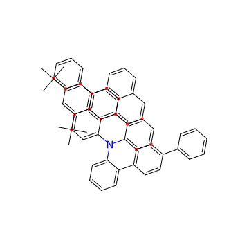 CC(C)(C)c1cc(-c2cccc3cccc(-c4ccccc4N(c4ccccc4-c4ccc(-c5ccccc5)cc4)c4ccccc4-c4ccc(-c5ccccc5)cc4)c23)cc(C(C)(C)C)c1